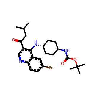 CC(C)CC(=O)c1cnc2ccc(Br)cc2c1N[C@H]1CC[C@H](NC(=O)OC(C)(C)C)CC1